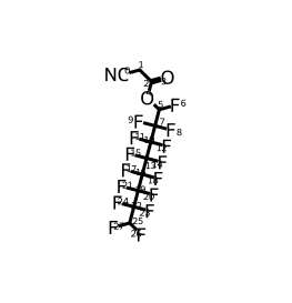 N#CCC(=O)OC(F)C(F)(F)C(F)(F)C(F)(F)C(F)(F)C(F)(F)C(F)(F)C(F)F